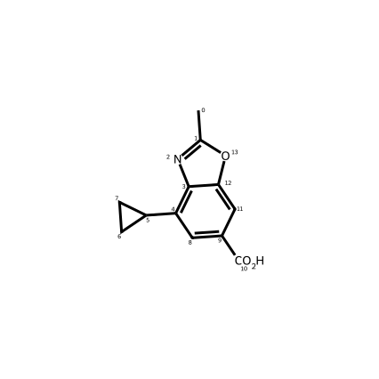 Cc1nc2c(C3CC3)cc(C(=O)O)cc2o1